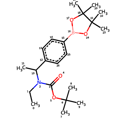 CCN(C(=O)OC(C)(C)C)C(C)c1ccc(B2OC(C)(C)C(C)(C)O2)cc1